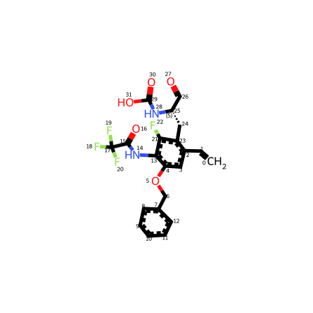 C=Cc1cc(OCc2ccccc2)c(NC(=O)C(F)(F)F)c(F)c1C[C@@H](C=O)NC(=O)O